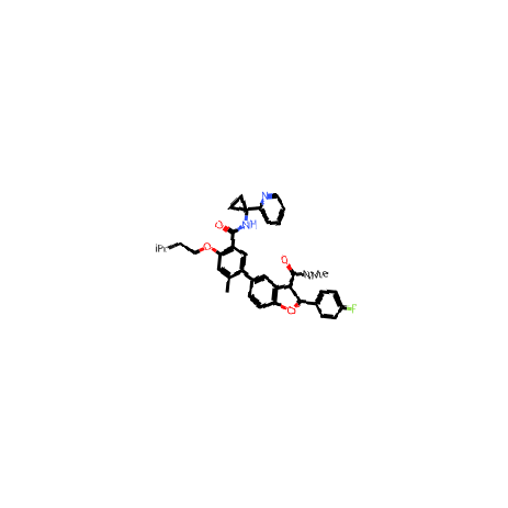 CNC(=O)C1c2cc(-c3cc(C(=O)NC4(c5ccccn5)CC4)c(OCCC(C)C)cc3C)ccc2OC1c1ccc(F)cc1